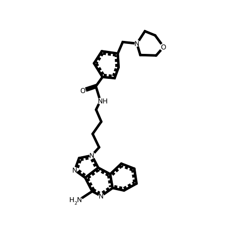 Nc1nc2ccccc2c2c1ncn2CCCCNC(=O)c1ccc(CN2CCOCC2)cc1